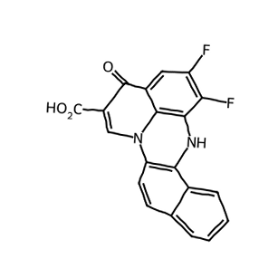 O=C(O)c1cn2c3c(c(F)c(F)cc3c1=O)Nc1c-2ccc2ccccc12